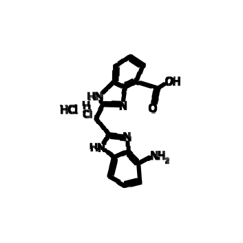 Cl.Cl.Nc1cccc2[nH]c(Cc3nc4c(C(=O)O)cccc4[nH]3)nc12